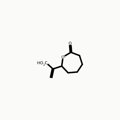 C=C(C(=O)O)C1CCCCC(=O)O1